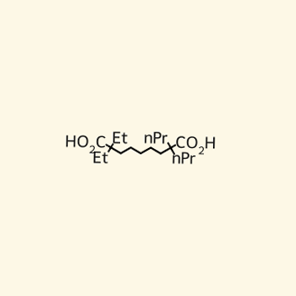 CCCC(CCC)(CCCCCC(CC)(CC)C(=O)O)C(=O)O